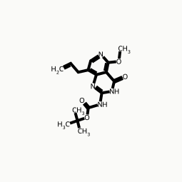 C=CCc1cnc(OC)c2c(=O)[nH]c(NC(=O)OC(C)(C)C)nc12